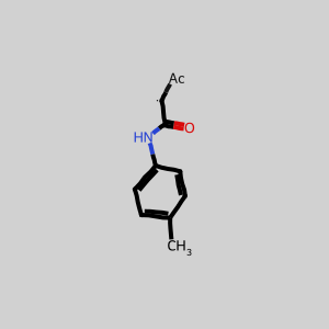 CC(=O)[CH]C(=O)Nc1ccc(C)cc1